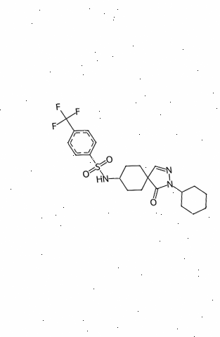 O=C1N(C2CCCCC2)N=CC12CCC(NS(=O)(=O)c1ccc(C(F)(F)F)cc1)CC2